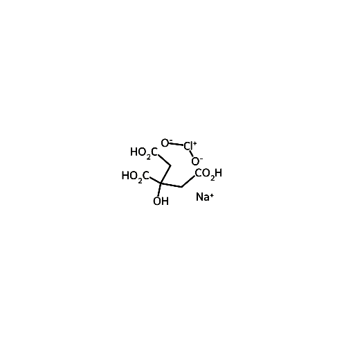 O=C(O)CC(O)(CC(=O)O)C(=O)O.[Na+].[O-][Cl+][O-]